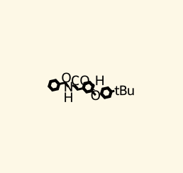 CC(C)(C)c1ccc(Oc2cccc(/C=C(/NC(=O)c3ccccc3)C(=O)O)c2)cc1